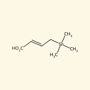 [CH3][Sn]([CH3])([CH3])[CH2]/C=C/C(=O)O